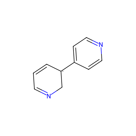 C1=C[C](c2ccncc2)CN=C1